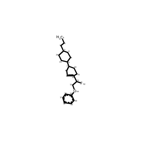 CCCC1CCC(C2CC=C(C(F)COc3ccccc3)CC2)CC1